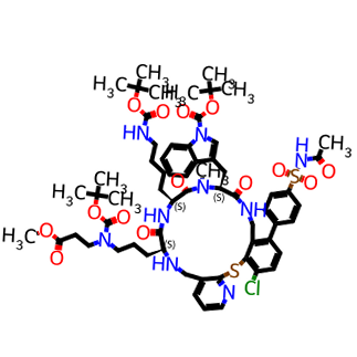 COC(=O)CCN(CCC[C@@H]1NCc2cccnc2Sc2c(Cl)ccc(-c3ccc(S(=O)(=O)NC(C)=O)cc3)c2CNC(=O)[C@H](Cc2cn(C(=O)OC(C)(C)C)c3ccccc23)N(C)C(=O)[C@H](CCCCNC(=O)OC(C)(C)C)NC1=O)C(=O)OC(C)(C)C